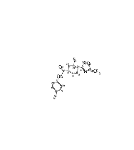 O=C(COc1ccc(F)cc1)c1ccc(-c2noc(C(F)(F)F)n2)c(F)c1